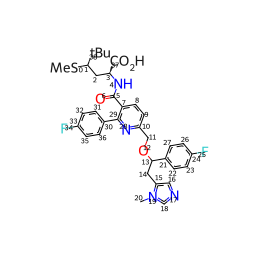 CSC(C[C@H](NC(=O)c1ccc(COC(Cc2cncn2C)c2ccc(F)cc2)nc1-c1ccc(F)cc1)C(=O)O)C(C)(C)C